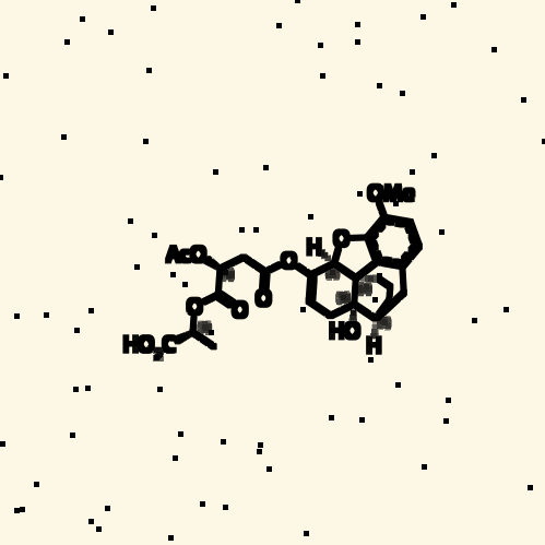 COc1ccc2c3c1O[C@@H]1C(OC(=O)C[C@H](OC(C)=O)C(=O)O[C@@H](C)C(=O)O)=CC[C@]4(O)[C@@H](CCC[C@@]314)C2